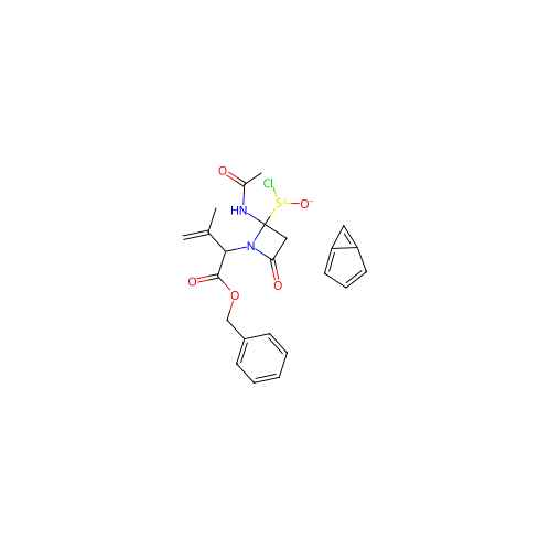 C=C(C)C(C(=O)OCc1ccccc1)N1C(=O)CC1(NC(C)=O)[S+]([O-])Cl.c1cc2cc-2c1